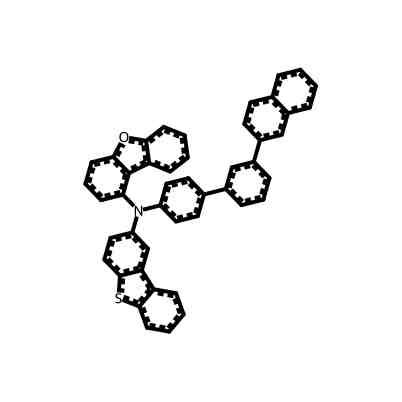 c1cc(-c2ccc(N(c3ccc4sc5ccccc5c4c3)c3cccc4oc5ccccc5c34)cc2)cc(-c2ccc3ccccc3c2)c1